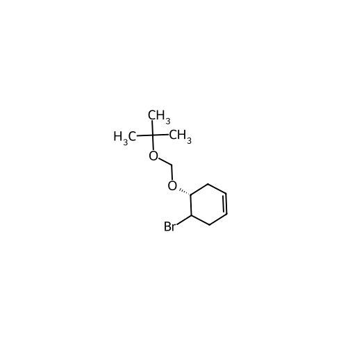 CC(C)(C)OCO[C@@H]1CC=CCC1Br